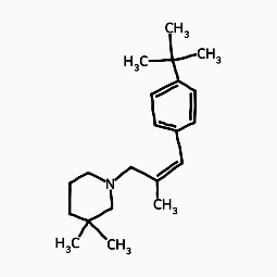 CC(=Cc1ccc(C(C)(C)C)cc1)CN1CCCC(C)(C)C1